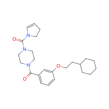 O=C(c1cccc(OCCC2CCCCC2)c1)N1CCN(C(=O)N2C=CCC2)CC1